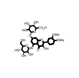 COc1ccc(-c2oc3cc(O[C@@H]4OC(C(=O)O)[C@@H](O)[C@H](O)C4O)cc(O[C@@H]4OC(CO)[C@@H](O)[C@H](O)C4O)c3c(=O)c2O)cc1OC